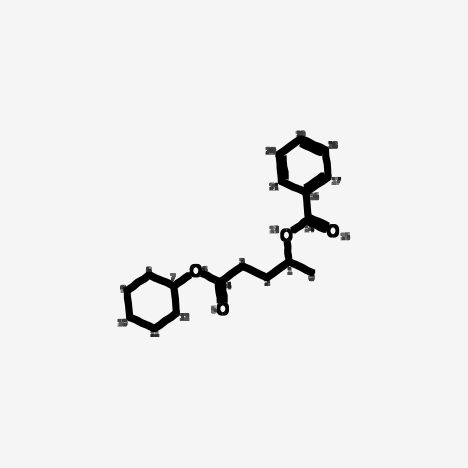 CC(CCC(=O)OC1CCCCC1)OC(=O)c1ccccc1